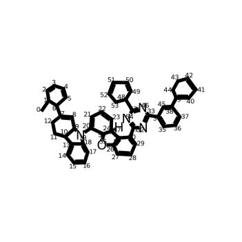 CC1C=CC=CC1C1=CC2C(CC1)c1ccccc1N2C1=CC=C[C@@H]2c3c(cccc3-c3nc(-c4cccc(C5=CC=CCC5)c4)nc(C4C=CC=CC4)n3)OC12